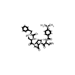 CC(C)CC(NC(=O)OCc1ccccc1)C(=O)N1CC(=O)C2C1CCN2C(=O)C(CC(C)C)NC(=O)c1ccc(N(C)C)cc1